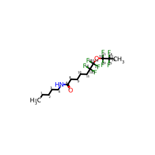 CCCCCNC(=O)CCCCC(F)(F)C(F)(F)OC(F)(F)C(C)(F)F